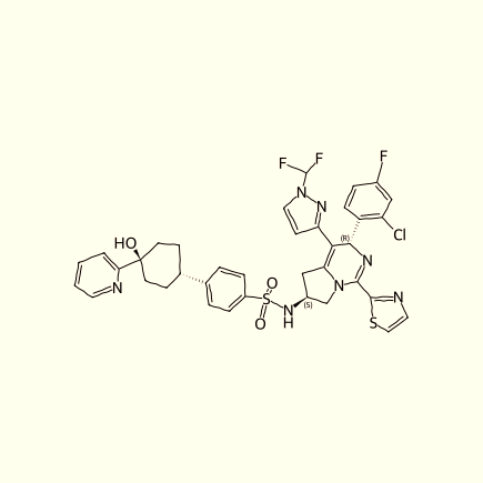 O=S(=O)(N[C@H]1CC2=C(c3ccn(C(F)F)n3)[C@H](c3ccc(F)cc3Cl)N=C(c3nccs3)N2C1)c1ccc([C@H]2CC[C@@](O)(c3ccccn3)CC2)cc1